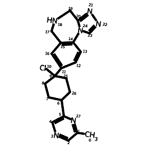 Cc1cncc(C2CCC(Cl)(c3ccc4c(c3)CNCc3nncn3-4)CC2)n1